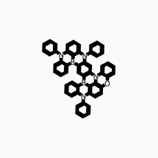 c1ccc(N2c3ccccc3B3c4cc5c(cc4N(c4ccccc4)c4cccc2c43)N2c3ccccc3Oc3ccc4c(c32)B5c2ccccc2N4c2ccccc2)cc1